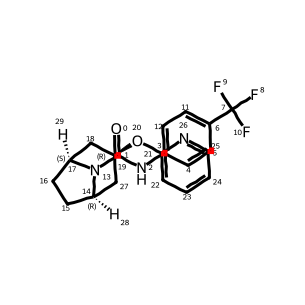 O=C(Nc1ccc(C(F)(F)F)cc1)N1[C@@H]2CC[C@H]1C[C@@H](Oc1ccccn1)C2